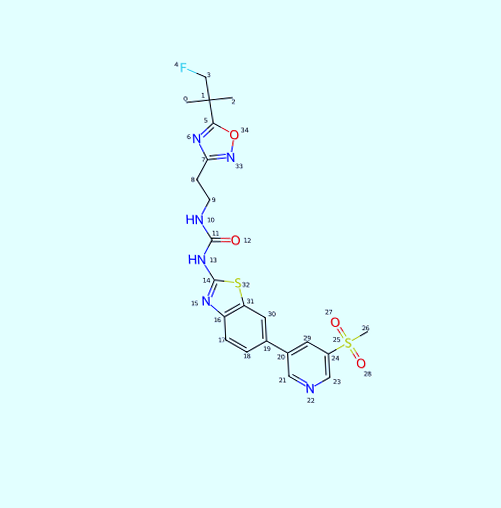 CC(C)(CF)c1nc(CCNC(=O)Nc2nc3ccc(-c4cncc(S(C)(=O)=O)c4)cc3s2)no1